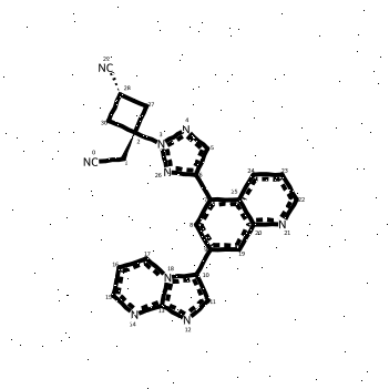 N#CC[C@]1(n2ncc(-c3cc(-c4cnc5ncccn45)cc4ncccc34)n2)C[C@@H](C#N)C1